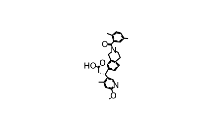 COc1cc(C)c([C@H](CC(=O)O)c2ccc3c(c2)CN(C(=O)c2cc(C)ccc2C)CC3)cn1